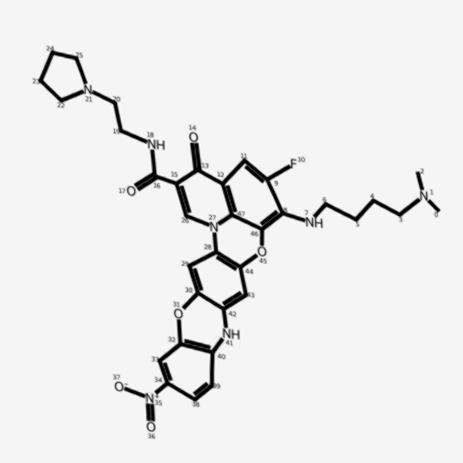 CN(C)CCCCNc1c(F)cc2c(=O)c(C(=O)NCCN3CCCC3)cn3c4cc5oc6cc([N+](=O)[O-])ccc6[nH]c5cc4oc1c23